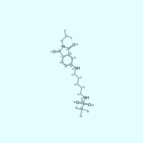 CC(C)CN1C(=O)c2ccc(NCCCCCNS(=O)(=O)C(C)(C)C)cc2C1=O